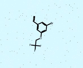 C=[C]c1cc(Br)cc(OCC(F)(F)F)c1